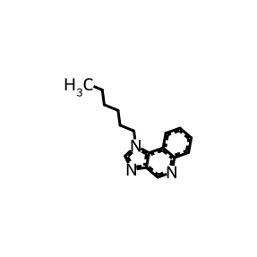 CCCCCCn1cnc2cnc3ccccc3c21